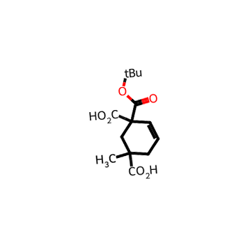 CC(C)(C)OC(=O)C1(C(=O)O)C=CCC(C)(C(=O)O)C1